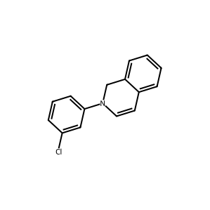 Clc1cccc(N2C=Cc3ccccc3C2)c1